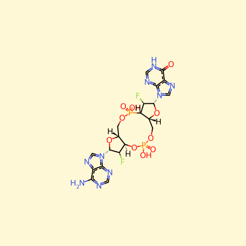 Nc1ncnc2c1ncn2[C@@H]1O[C@@H]2COP(=O)(O)[C@H]3[C@@H](F)[C@H](n4cnc5c(=O)[nH]cnc54)O[C@@H]3COP(=O)(O)O[C@H]2[C@H]1F